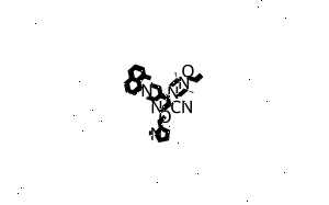 C=CC(=O)N1[C@H](C)CN(c2c(C#N)c(OCC3CCCN3C)nc3c2CCN(c2cccc4cccc(C)c24)C3)C[C@@H]1C